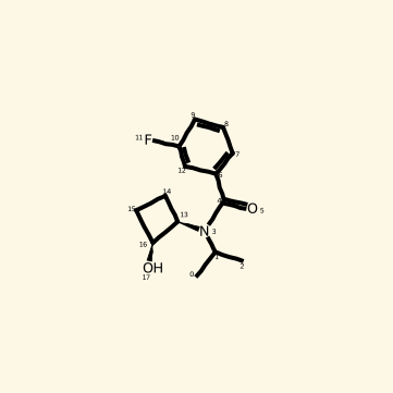 CC(C)N(C(=O)c1cccc(F)c1)[C@@H]1CC[C@@H]1O